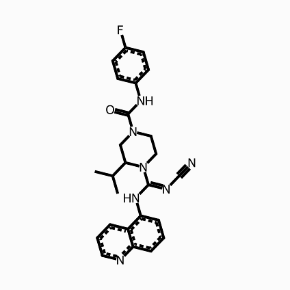 CC(C)C1CN(C(=O)Nc2ccc(F)cc2)CCN1/C(=N\C#N)Nc1cccc2ncccc12